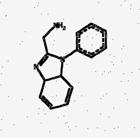 NCC1=NC2C=CC=CC2N1c1ccccc1